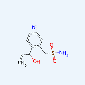 C=CC(O)c1ccccc1CS(N)(=O)=O.[N]